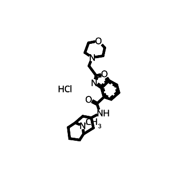 CN1C2CCCC1CC(NC(=O)c1cccc3oc(CN4CCOCC4)nc13)C2.Cl